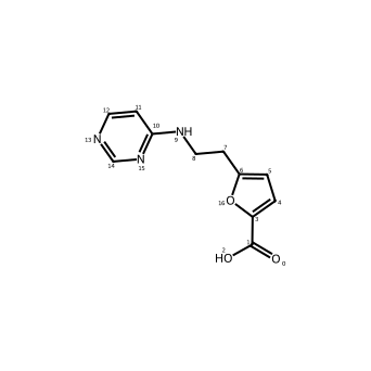 O=C(O)c1ccc(CCNc2ccncn2)o1